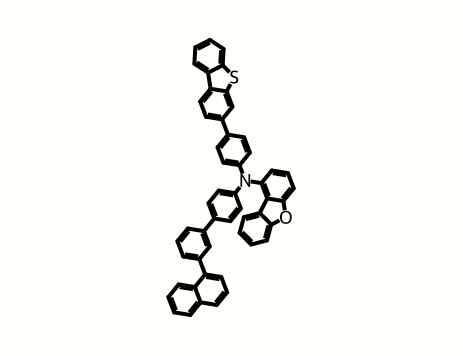 c1cc(-c2ccc(N(c3ccc(-c4ccc5c(c4)sc4ccccc45)cc3)c3cccc4oc5ccccc5c34)cc2)cc(-c2cccc3ccccc23)c1